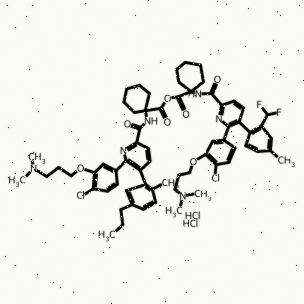 CCCc1ccc(C)c(-c2ccc(C(=O)NC3(C(=O)OC(=O)C4(NC(=O)c5ccc(-c6ccc(C)cc6C(F)F)c(-c6ccc(Cl)c(OCCCN(C)C)c6)n5)CCCCC4)CCCCC3)nc2-c2ccc(Cl)c(OCCCN(C)C)c2)c1.Cl.Cl